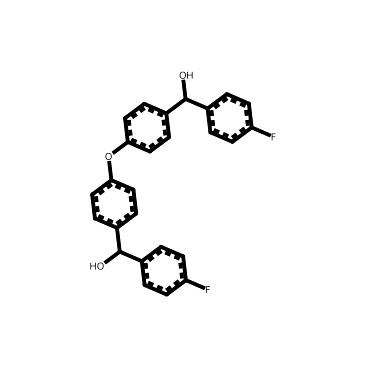 OC(c1ccc(F)cc1)c1ccc(Oc2ccc(C(O)c3ccc(F)cc3)cc2)cc1